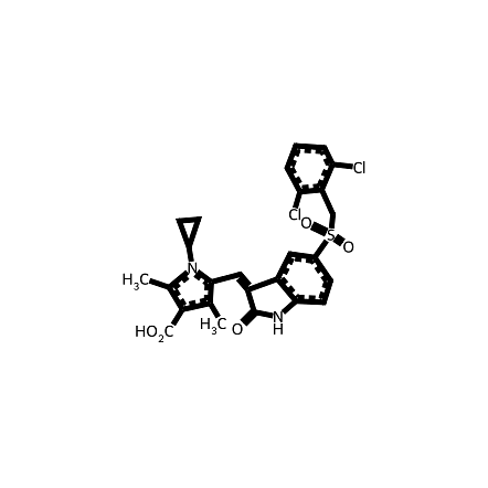 Cc1c(C(=O)O)c(C)n(C2CC2)c1/C=C1\C(=O)Nc2ccc(S(=O)(=O)Cc3c(Cl)cccc3Cl)cc21